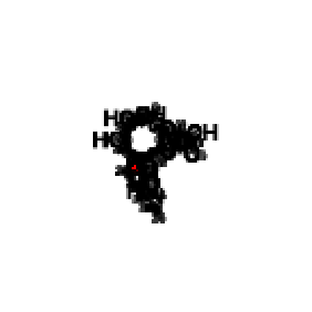 CC[C@H]1OC(=O)[C@H](C)[C@@H](O[C@H]2C[C@@](C)(OC)[C@@H](O)[C@H](C)O2)[C@H](C)[C@@H](O[C@@H]2O[C@H](C)C[C@H]3[C@H]2OC(=NC(C)C)N3C)[C@](C)(OC)C[C@@H](C)[C@H](O)[C@H](C)[C@@H](O)[C@]1(C)O